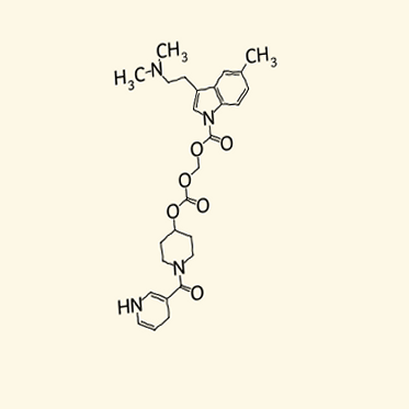 Cc1ccc2c(c1)c(CCN(C)C)cn2C(=O)OCOC(=O)OC1CCN(C(=O)C2=CNC=CC2)CC1